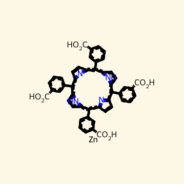 O=C(O)c1cccc(-c2c3nc(c(-c4cccc(C(=O)O)c4)c4ccc([nH]4)c(-c4cccc(C(=O)O)c4)c4nc(c(-c5cccc(C(=O)O)c5)c5ccc2[nH]5)C=C4)C=C3)c1.[Zn]